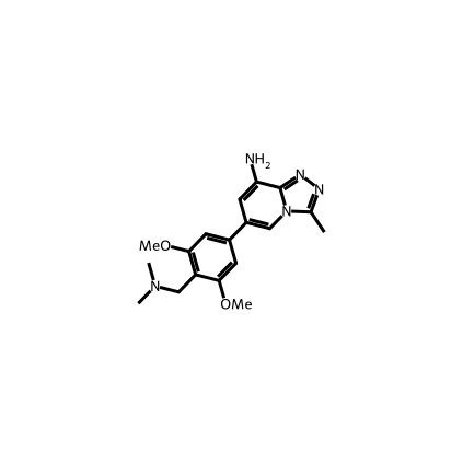 COc1cc(-c2cc(N)c3nnc(C)n3c2)cc(OC)c1CN(C)C